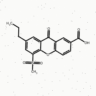 CCCc1cc(S(C)(=O)=O)c2oc3ccc(C(=O)O)cc3c(=O)c2c1